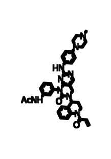 C=CC(=O)N1CCC(N2Cc3cnc(Nc4ccc(N5CCN(C)CC5)cc4)nc3N(c3cccc(NC(C)=O)c3)C2=O)c2ccccc21